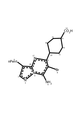 CCCCCc1cnn2c(N)c(Br)c(C3CCC(C(=O)O)CC3)nc12